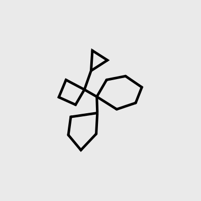 C1CCC(C2CCCC2)(C2(C3CC3)CCC2)CC1